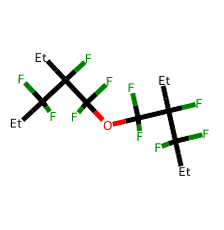 CCC(F)(F)C(F)(CC)C(F)(F)OC(F)(F)C(F)(CC)C(F)(F)CC